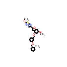 COc1cc(OCc2cccc(OCc3ccccc3C)c2)c2cc(-c3cn4nc(OC)sc4n3)oc2c1